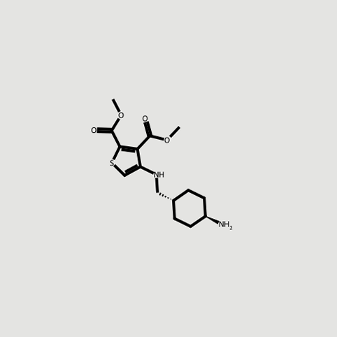 COC(=O)c1scc(NC[C@H]2CC[C@H](N)CC2)c1C(=O)OC